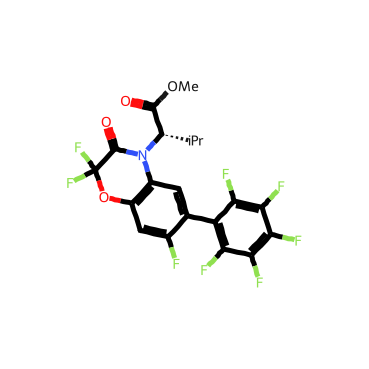 COC(=O)[C@H](C(C)C)N1C(=O)C(F)(F)Oc2cc(F)c(-c3c(F)c(F)c(F)c(F)c3F)cc21